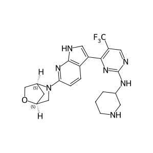 FC(F)(F)c1cnc(NC2CCCNC2)nc1-c1c[nH]c2nc(N3C[C@@H]4C[C@H]3CO4)ccc12